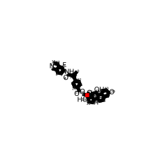 CC1C(C(=O)Nc2ccc3cnccc3c2F)C1c1ccc(C(=O)OCC(=O)[C@@]2(O)CC[C@H]3[C@@H]4CCC5=CC(=O)C=C[C@]5(C)[C@@]4(F)[C@@H](O)C[C@@]32C)cc1